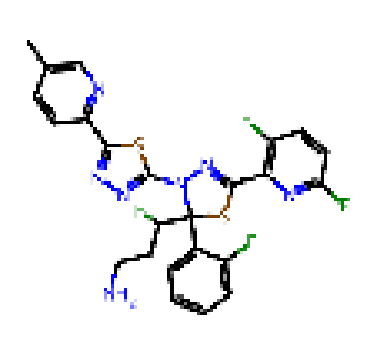 Cc1ccc(-c2nnc(N3N=C(c4nc(F)ccc4F)SC3(c3ccccc3F)C(F)CCN)s2)nc1